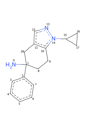 NC1(c2ccccc2)CCc2c(cnn2C2CC2)C1